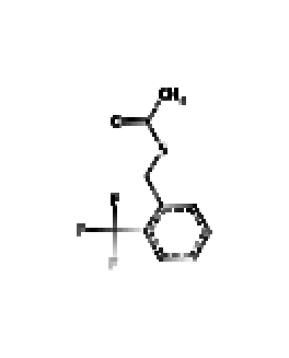 CC(=O)SCc1ccccc1C(F)(F)F